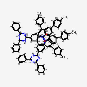 Cc1ccc(-c2ccc3c(c2)c2cc(-c4ccc(C)cc4)ccc2n3-c2ccc(-c3nc(-c4ccccc4)nc(-c4ccccc4)n3)cc2-c2cc(-c3nc(-c4ccccc4)nc(-c4ccccc4)n3)ccc2-n2c3ccc(-c4ccc(C)cc4)cc3c3cc(-c4ccc(C)cc4)ccc32)cc1